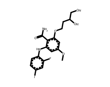 COc1cc(Nc2ccc(I)cc2F)c(C(N)=O)c(OCCC(O)CO)c1